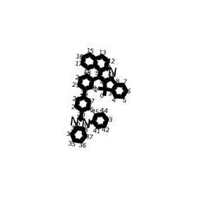 CC1(C)c2ccccc2-c2nc3ccc4ccccc4c3c(-c3cccc(-c4ccc(-c5nc6ccccc6n5-c5ccccc5)cc4)c3)c21